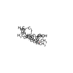 CC[C@H](C)[C@H](NC(=O)[C@H](C)[C@@H](OC)[C@@H]1CCCN1C(=O)C1C/C=C/CCCC[C@H](NC)C(=O)N[C@@H](C(C)C)C(=O)N1C)[C@@H](CC(=O)O)OC